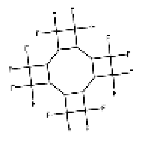 FC1(F)C2C(C3C(C4C(C5C2C(F)(F)C5(F)F)C(F)(F)C4(F)F)C(F)(F)C3(F)F)C1(F)F